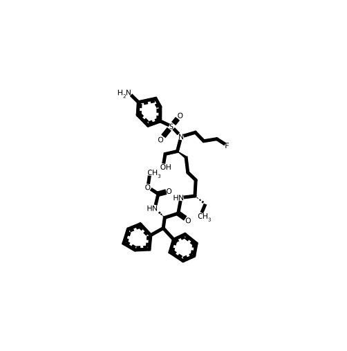 CC[C@@H](CCC[C@@H](CO)N(CCCF)S(=O)(=O)c1ccc(N)cc1)NC(=O)[C@@H](NC(=O)OC)C(c1ccccc1)c1ccccc1